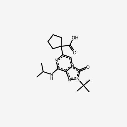 CC(C)Nc1nc(C2(C(=O)O)CCCC2)cn2c(=O)n(C(C)(C)C)nc12